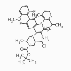 COc1cccc(F)c1-c1c(F)cc2c(N3C[C@@H](C)N(C(=O)OC(C)(C)C)C[C@@H]3CCl)c(N)c(=O)n(-c3c(C)ccnc3C(C)C)c2c1F